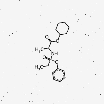 CCP(=O)(N[C@@H](C)C(=O)OC1CCCCC1)Oc1ccccc1